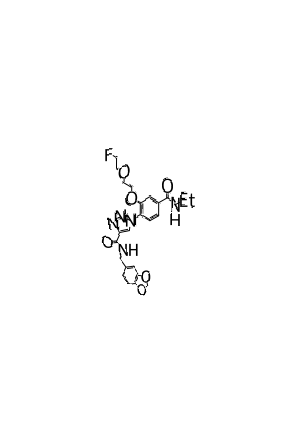 CCNC(=O)c1ccc(-n2cc(C(=O)NCc3ccc4c(c3)OCO4)nn2)c(OCCOCCF)c1